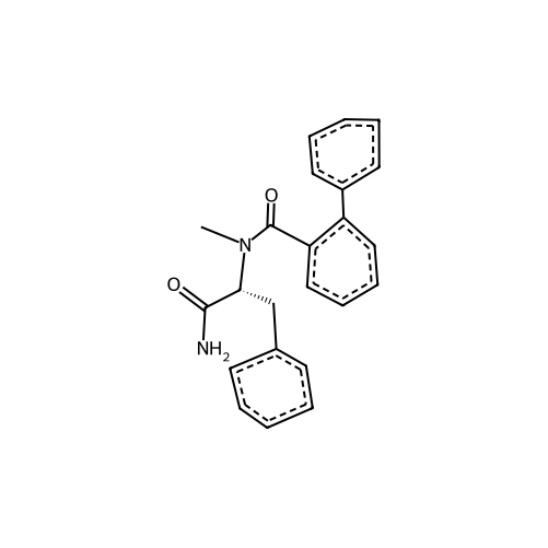 CN(C(=O)c1ccccc1-c1ccccc1)[C@H](Cc1ccccc1)C(N)=O